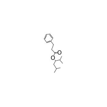 CC(C)CC(OC(=O)CCc1ccccc1)C(C)C